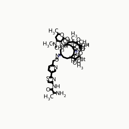 CCC(=O)/N=C1\[C@H](C)C[C@@]2(C)OC/C(=N/OCc3ccc(-c4nc(NC(=O)[C@H](C)N)cs4)cn3)CC[C@H]([C@H]1C)[C@](C)(O)[C@@H](CC)OC(=O)[C@@](C)(O)C(=O)[C@H](C)[C@H]2O[C@@H]1O[C@H](C)C[C@H](N(C)C)[C@H]1O